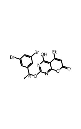 CCc1cc(=O)oc2nc(O[C@@H](C)c3cc(Br)cc(Br)c3)nc(O)c12